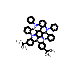 CC(C)c1ccc2c(c1)N1c3ccccc3B3c4c5c6c7c(c41)B2c1ccc(C(C)C)cc1N7c1ccccc1B6N(c1ccccc1)c1cccc(c1-5)N3c1ccccc1